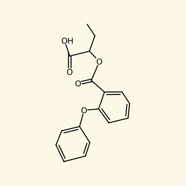 CCC(OC(=O)c1ccccc1Oc1ccccc1)C(=O)O